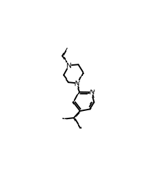 CCN1CCN(c2cc(C(C)C)ccn2)CC1